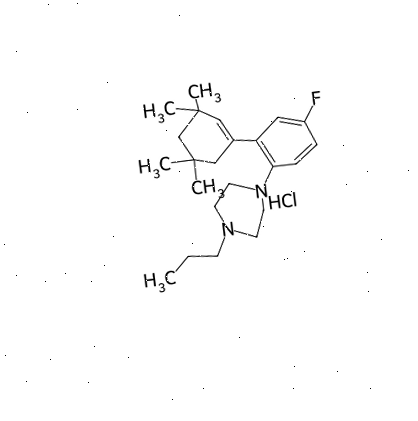 CCCN1CCN(c2ccc(F)cc2C2=CC(C)(C)CC(C)(C)C2)CC1.Cl